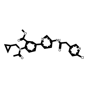 COC(=O)c1cc(-c2ccc(NC(=O)Cc3ccc(Cl)nc3)cn2)ccc1N(CC1CC1)C(C)=O